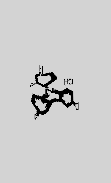 Cl.Fc1ccc2c(c1)c1cc(Cl)ccc1n2[C@H]1CCNC[C@H]1F